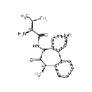 CC(C)[C@H](N)C(=O)NN1C(=O)[C@H](C)c2ccccc2-c2ccccc21.Cl